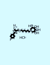 Cc1sc(-c2ccc(F)cc2)nc1COCCCCCCN1C[C@H](O)[C@@H](O)[C@H](O)[C@@H](O)C1.Cl